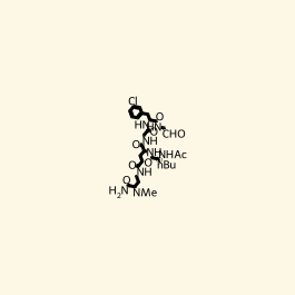 CCCC[C@H](NC(C)=O)C(=O)NC(CCC(=O)NCCC(NC)C(N)=O)C(=O)NCC(=O)NC(Cc1cccc(Cl)c1)C(=O)NCC=O